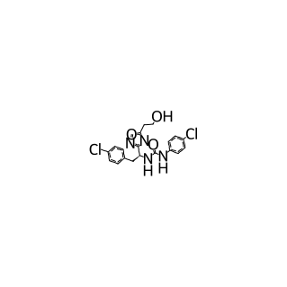 O=C(Nc1ccc(Cl)cc1)N[C@@H](Cc1ccc(Cl)cc1)c1noc(CCO)n1